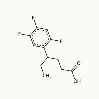 CCC(CCC(=O)O)c1cc(F)c(F)cc1F